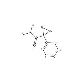 CC(C)C(=O)C1(C2=CC=CCC2)CC1